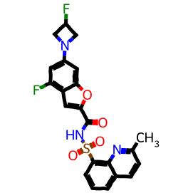 Cc1ccc2cccc(S(=O)(=O)NC(=O)c3cc4c(F)cc(N5CC(F)C5)cc4o3)c2n1